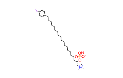 C[N+](C)(C)CC(CCCCCCCCCCCCCCCCCCc1ccc(I)cc1)OP(=O)([O-])O